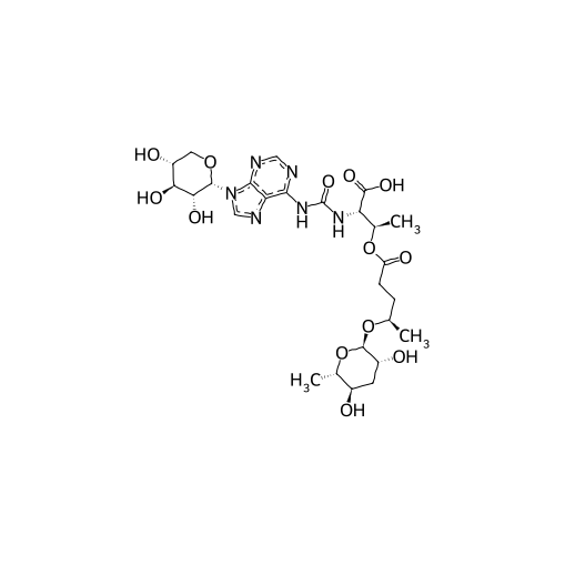 C[C@H](CCC(=O)O[C@H](C)[C@H](NC(=O)Nc1ncnc2c1ncn2[C@H]1OC[C@@H](O)[C@H](O)[C@H]1O)C(=O)O)O[C@@H]1O[C@@H](C)[C@H](O)C[C@H]1O